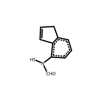 O=CN(S)c1cccc2c1C=CC2